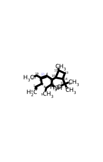 C=CC/C(=C\C(C(S)CC)C1C(C)CC1C(C)(C)C)CC